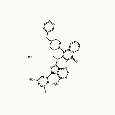 CC(c1oc(=O)c2ccccc2c1C1=CCN(Cc2ccncc2)CC1)n1nc(-c2cc(O)cc(F)c2)c2c(N)ncnc21.Cl